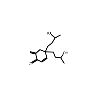 C=C1CC(CCC(C)O)(CCC(C)O)C=CC1=O